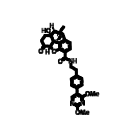 COc1ncc(-c2ccc(CCNC(=O)c3ccc4c5c3O[C@H]3C(=O)CC[C@@]6(O)[C@@H](C4)N(C)CC[C@]536)cc2)c(OC)n1